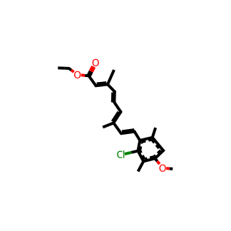 CCOC(=O)C=C(C)C=CC=C(C)C=Cc1c(C)cc(OC)c(C)c1Cl